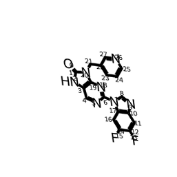 O=c1[nH]c2cnc(-n3cnc4cc(F)c(F)cc43)nc2n1Cc1cccnc1